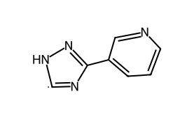 [c]1nc(-c2cccnc2)n[nH]1